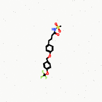 CS(=O)(=O)NC(=O)CCCc1ccc(OCc2ccc(OC(F)(F)F)cc2)cc1